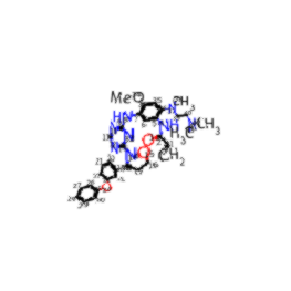 C=CC(=O)Nc1cc(Nc2ncnc(N3OCC[C@@H]3c3cccc(Oc4ccccc4)c3)n2)c(OC)cc1N(C)CCN(C)C